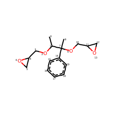 CC(OCC1CO1)C(C)(OCC1CO1)c1ccccc1